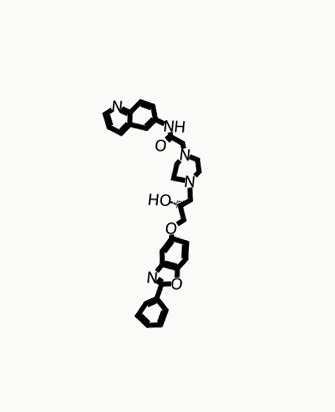 O=C(CN1CCN(C[C@@H](O)COc2ccc3oc(-c4ccccc4)nc3c2)CC1)Nc1ccc2ncccc2c1